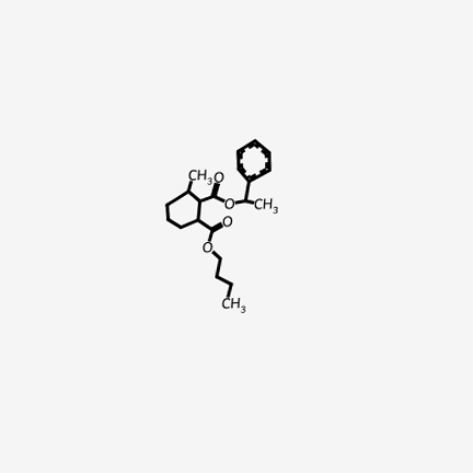 CCCCOC(=O)C1CCCC(C)C1C(=O)OC(C)c1ccccc1